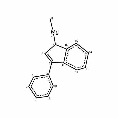 [CH3][Mg][CH]1C=C(c2ccccc2)c2ccccc21